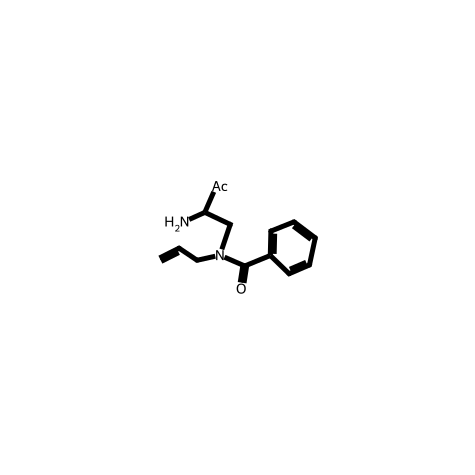 C=CCN(CC(N)C(C)=O)C(=O)c1ccccc1